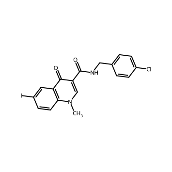 Cn1cc(C(=O)NCc2ccc(Cl)cc2)c(=O)c2cc(I)ccc21